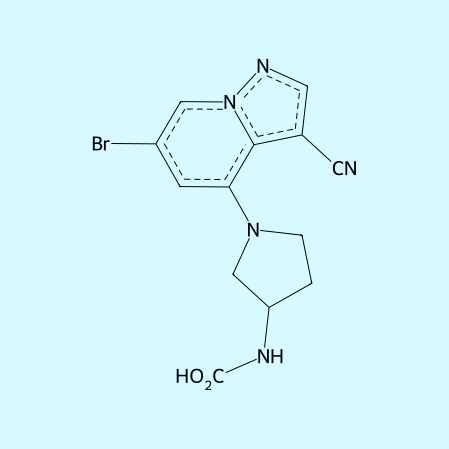 N#Cc1cnn2cc(Br)cc(N3CCC(NC(=O)O)C3)c12